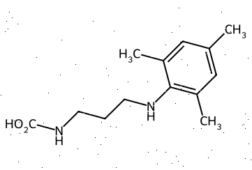 Cc1cc(C)c(NCCCNC(=O)O)c(C)c1